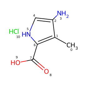 Cc1c(N)c[nH]c1C(=O)O.Cl